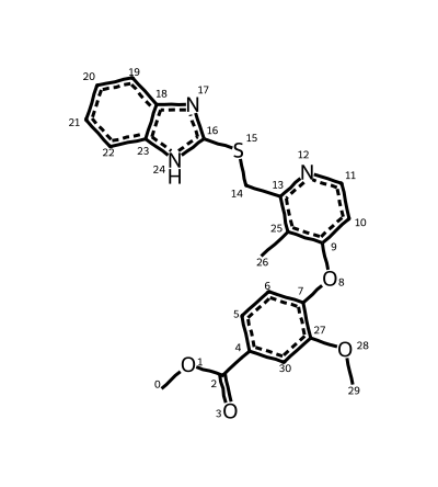 COC(=O)c1ccc(Oc2ccnc(CSc3nc4ccccc4[nH]3)c2C)c(OC)c1